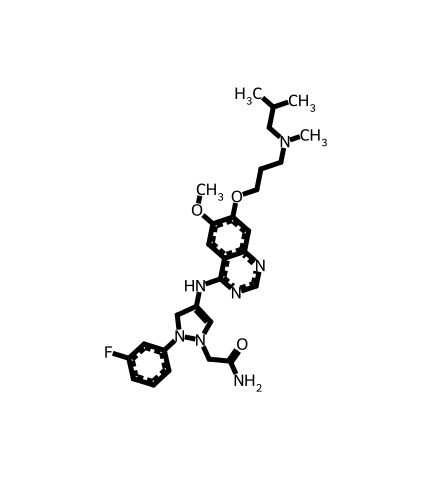 COc1cc2c(NC3=CN(CC(N)=O)N(c4cccc(F)c4)C3)ncnc2cc1OCCCN(C)CC(C)C